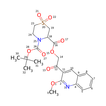 COc1nc2ccccc2cc1C(=O)COC(=O)C1CS(=O)(=O)CCN1C(=O)OC(C)(C)C